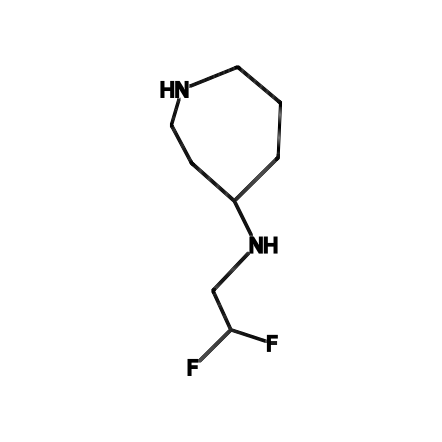 FC(F)CNC1CCCNCC1